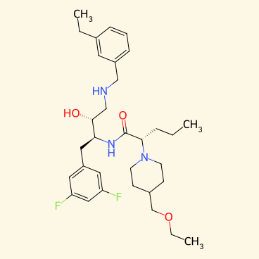 CCC[C@@H](C(=O)N[C@@H](Cc1cc(F)cc(F)c1)[C@H](O)CNCc1cccc(CC)c1)N1CCC(COCC)CC1